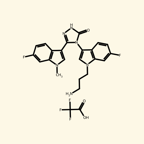 Cn1cc(-c2n[nH]c(=O)n2-c2cn(CCCN)c3cc(F)ccc23)c2ccc(F)cc21.O=C(O)C(F)(F)F